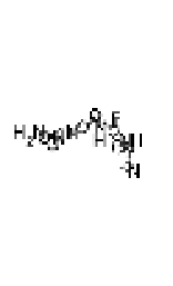 NOCC(=O)N1CCN(c2ccc(C(=O)NCc3ccc(NC(=O)[C@H]4C[C@@H]4c4cccnc4)cc3F)cc2)CC1